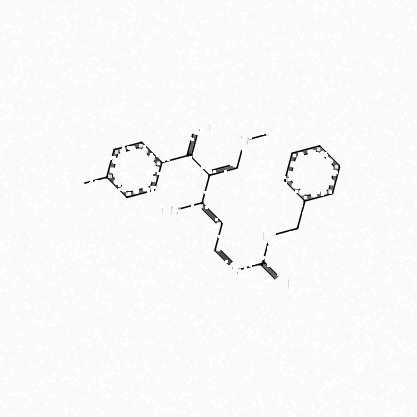 C=C(\N=C/C=C(N)/C(=C/NC)C(=N)c1ccc(F)cc1)NCc1ccccc1